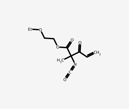 C=CC(=O)C(C)(N=C=O)C(=O)OCCOCC